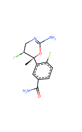 C[C@]1(c2cc(C(N)=O)ccc2F)OC(N)=NC[C@@H]1F